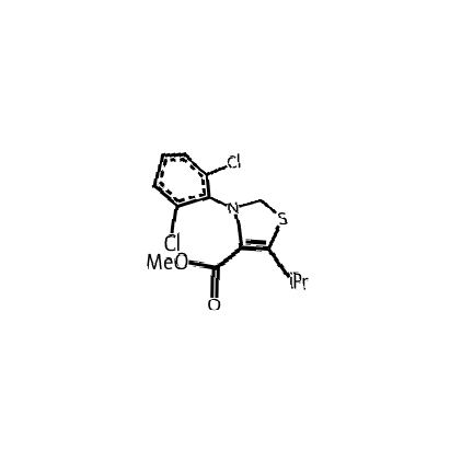 COC(=O)C1=C(C(C)C)SCN1c1c(Cl)cccc1Cl